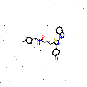 Cc1ccc(CNC(=O)CCCc2sc(-n3cnc4ccccc43)nc2-c2ccc(Cl)cc2)cc1